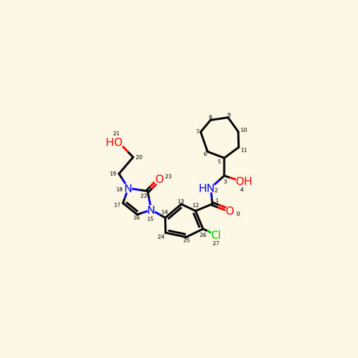 O=C(NC(O)C1CCCCCC1)c1cc(-n2ccn(CCO)c2=O)ccc1Cl